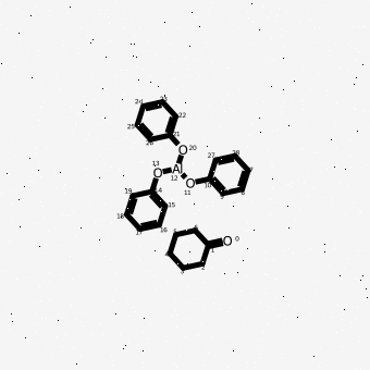 O=C1CCCCC1.c1ccc([O][Al]([O]c2ccccc2)[O]c2ccccc2)cc1